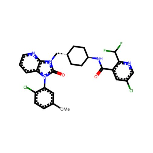 COc1ccc(Cl)c(-n2c(=O)n(C[C@H]3CC[C@H](NC(=O)c4cc(Cl)cnc4C(F)F)CC3)c3ncccc32)c1